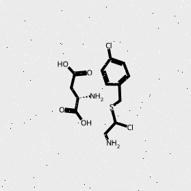 NCC(Cl)SCc1ccc(Cl)cc1.N[C@@H](CC(=O)O)C(=O)O